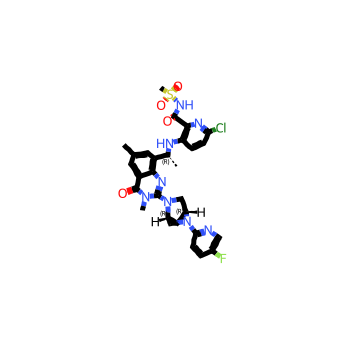 Cc1cc([C@@H](C)Nc2ccc(Cl)nc2C(=O)NS(C)(=O)=O)c2nc(N3C[C@H]4C[C@@H]3CN4c3ccc(F)cn3)n(C)c(=O)c2c1